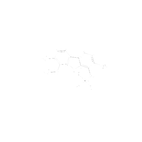 COc1c(C)ccc2c1sc1c(OC(F)(F)F)c(C)ccc12